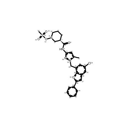 Cc1cc(NC(=O)[C@@H]2CCCN(OS(C)(=O)=O)C2)nn1Cc1cc(Cl)cc2cc(-c3ccccc3)oc12